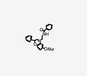 COc1ccc2c(c1)N(CCNC(=O)c1ccccc1)CC(c1ccccc1)O2